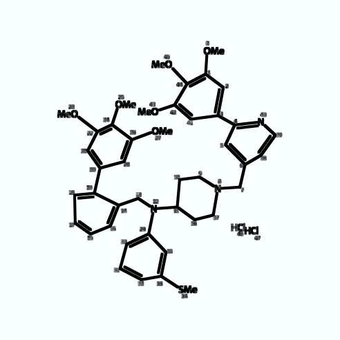 COc1cc(-c2cc(CN3CCC(N(Cc4ccccc4-c4cc(OC)c(OC)c(OC)c4)c4cccc(SC)c4)CC3)ccn2)cc(OC)c1OC.Cl.Cl